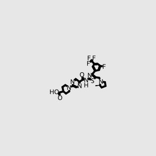 C[C@@H]1CCCN1Cc1sc(NC(=O)c2cnc(N3CCC(C(=O)O)CC3)cn2)nc1-c1cc(F)cc(C(F)(F)F)c1